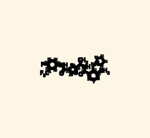 CC(NC(=O)c1ncnc(N)c1CN1CCCC1)c1ncc(C(=O)Nc2ccc(F)c(C(F)(F)F)c2)s1